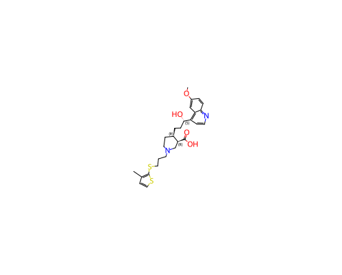 COc1ccc2nccc([C@@H](O)CC[C@@H]3CCN(CCCSc4sccc4C)C[C@@H]3C(=O)O)c2c1